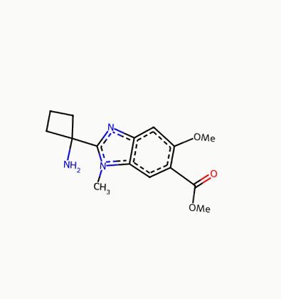 COC(=O)c1cc2c(cc1OC)nc(C1(N)CCC1)n2C